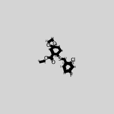 CCOC(=O)C1=CC2(CCC1SCc1ccc(F)cc1Cl)OCCO2